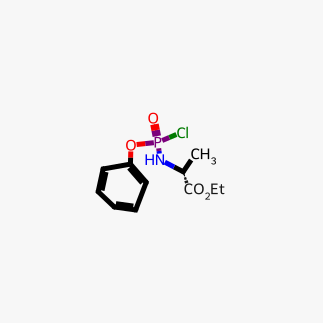 CCOC(=O)[C@@H](C)NP(=O)(Cl)Oc1ccccc1